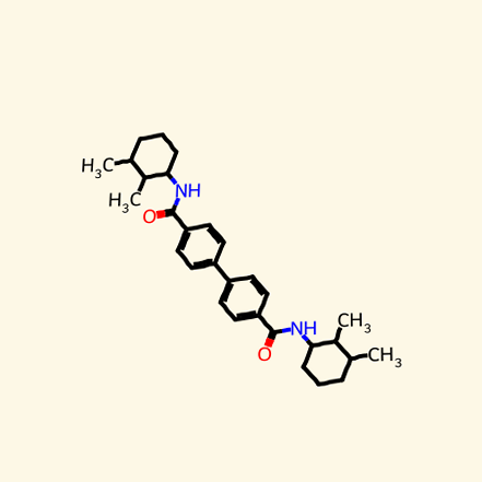 CC1CCCC(NC(=O)c2ccc(-c3ccc(C(=O)NC4CCCC(C)C4C)cc3)cc2)C1C